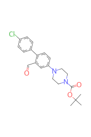 CC(C)(C)OC(=O)N1CCN(c2ccc(-c3ccc(Cl)cc3)c(C=O)c2)CC1